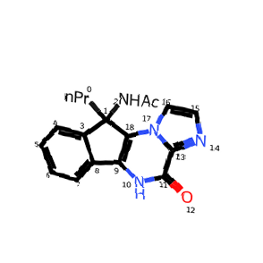 CCCC1(NC(C)=O)c2ccccc2-c2[nH]c(=O)c3nccn3c21